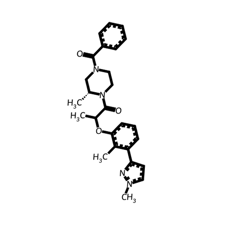 Cc1c(OC(C)C(=O)N2CCN(C(=O)c3ccccc3)C[C@H]2C)cccc1-c1ccn(C)n1